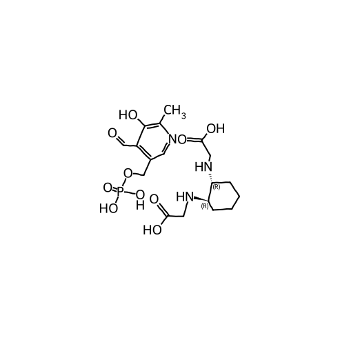 Cc1ncc(COP(=O)(O)O)c(C=O)c1O.O=C(O)CN[C@@H]1CCCC[C@H]1NCC(=O)O